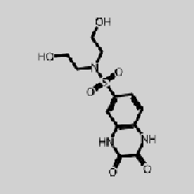 O=c1[nH]c2ccc(S(=O)(=O)N(CCO)CCO)cc2[nH]c1=O